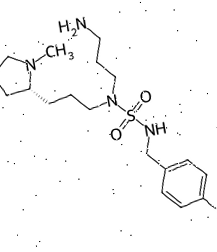 CN1CCC[C@H]1CCCN(CCCN)S(=O)(=O)NCc1ccc(Cl)cc1